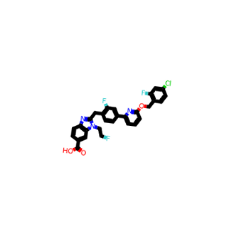 O=C(O)c1ccc2nc(Cc3ccc(-c4cccc(OCc5ccc(Cl)cc5F)n4)cc3F)n(CCF)c2c1